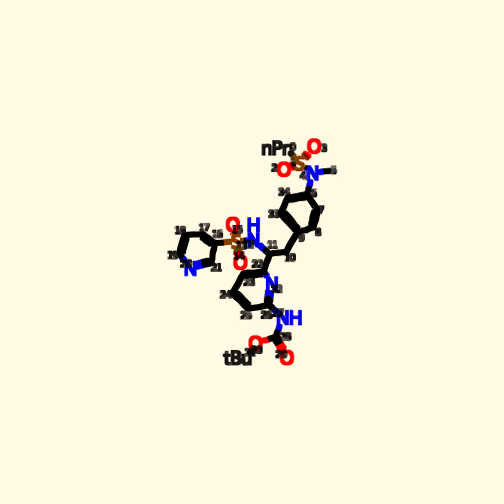 CCCS(=O)(=O)N(C)c1ccc(CC(NS(=O)(=O)c2cccnc2)c2cccc(NC(=O)OC(C)(C)C)n2)cc1